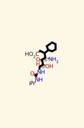 CC(C)NC(=O)NC[C@H](O)[C@H](O)[C@@H](N)C(CC(=O)O)C1CCCCC1